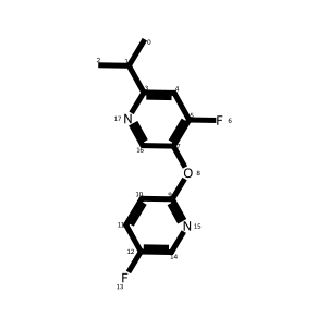 CC(C)c1cc(F)c(Oc2ccc(F)cn2)cn1